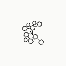 c1ccc(-c2ccc(N(c3cccc4oc5ccccc5c34)c3cc4c5ccccc5oc4c4oc5ccccc5c34)cc2)cc1